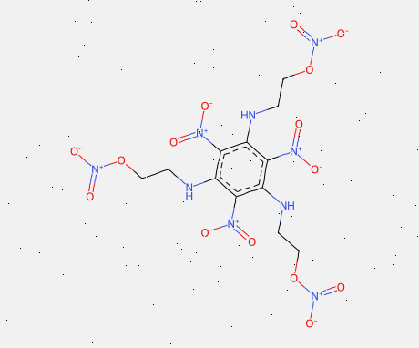 O=[N+]([O-])OCCNc1c([N+](=O)[O-])c(NCCO[N+](=O)[O-])c([N+](=O)[O-])c(NCCO[N+](=O)[O-])c1[N+](=O)[O-]